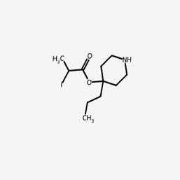 CCCC1(OC(=O)C(C)I)CCNCC1